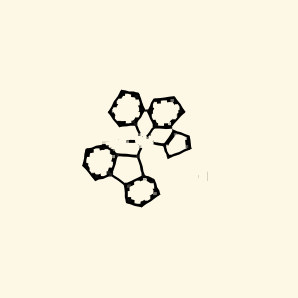 [Cl-].[Cl-].[SiH3][Zr+2]([C]1=CC=CC1)([c]1ccccc1)([c]1ccccc1)[CH]1c2ccccc2-c2ccccc21